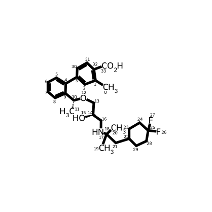 Cc1cc(-c2ccccc2[C@@H](C)OC[C@H](O)CNC(C)(C)CC2CCC(F)(F)CC2)ccc1C(=O)O